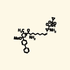 CO[C@@]1(c2ccc(-c3ccccc3)cc2)C[C@@H](C)N(C(=O)[C@@H](N)CCCCC/C=C\[C@@H]2C[C@]2(N)C(=O)NS(=O)(=O)C2CC2)C1